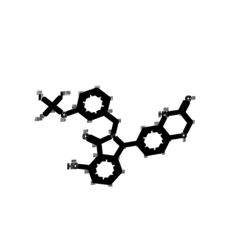 O=C1COc2ccc(C3c4cccc(O)c4C(=O)N3Cc3cccc(OC(F)(F)F)c3)cc2N1